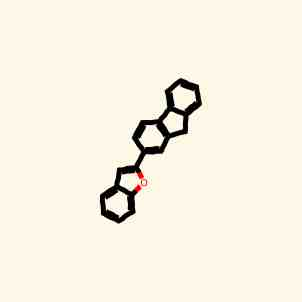 [c]1c(-c2cc3ccccc3o2)ccc2c1Cc1ccccc1-2